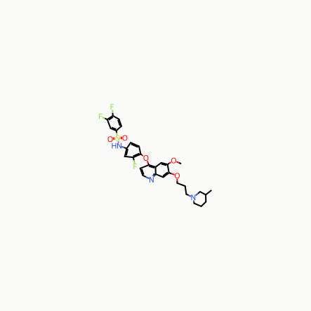 COc1cc2c(Oc3ccc(NS(=O)(=O)c4ccc(F)c(F)c4)cc3F)ccnc2cc1OCCCN1CCCC(C)C1